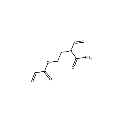 C=CC(=O)OCCN(C=C)C(N)=O